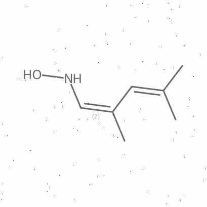 CC(C)=C/C(C)=C\NO